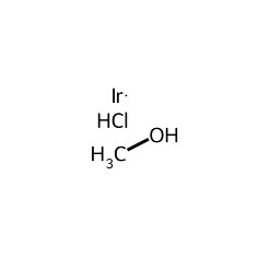 CO.Cl.[Ir]